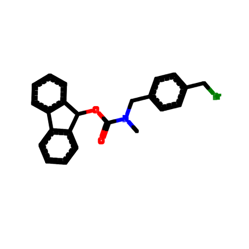 CN(Cc1ccc(CBr)cc1)C(=O)OC1c2ccccc2-c2ccccc21